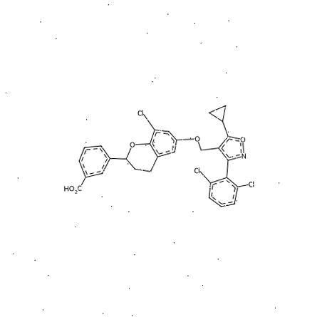 O=C(O)c1cccc(C2CCc3cc(OCc4c(-c5c(Cl)cccc5Cl)noc4C4CC4)cc(Cl)c3O2)c1